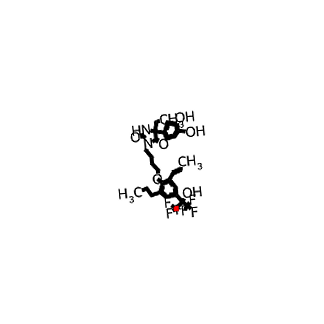 C/C=C/c1cc(C(O)(C(F)(F)F)C(F)(F)F)cc(CCC)c1OCCCCN1C(=O)NC(CC)(c2ccc(O)c(O)c2)C1=O